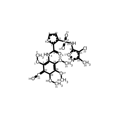 COC1=C(NC(=O)c2sccc2S(=O)(=O)Nc2onc(C)c2Cl)C(OC)=C(OC)C(OC)C1=C=O